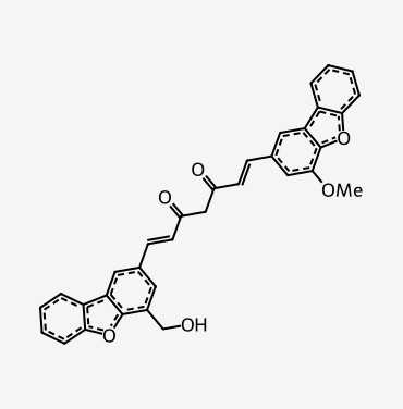 COc1cc(/C=C/C(=O)CC(=O)/C=C/c2cc(CO)c3oc4ccccc4c3c2)cc2c1oc1ccccc12